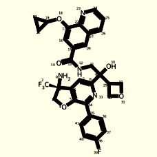 N[C@@]1(C(F)(F)F)COc2c1cc(C(O)(CNC(=O)c1cc(OC3CC3)c3ncccc3c1)C1COC1)nc2-c1ccc(F)cc1